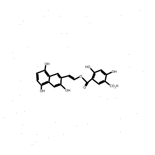 O=C(O)c1cc(C(=O)O/C=C/c2cc3c(O)ccc(O)c3cc2O)c(O)cc1O